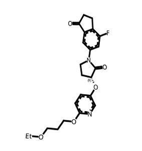 CCOCCCOc1ccc(O[C@@H]2CCN(c3cc(F)c4c(c3)C(=O)CC4)C2=O)cn1